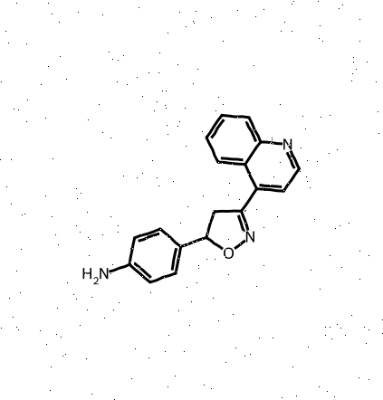 Nc1ccc(C2CC(c3ccnc4ccccc34)=NO2)cc1